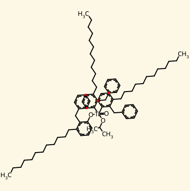 CCCCCCCCCCCCc1cccc([O][Ti](=[O])([O]C(C)C)([c]2cccc(CCCCCCCCCCCC)c2Cc2ccccc2)[c]2cccc(CCCCCCCCCCCC)c2Cc2ccccc2)c1Cc1ccccc1